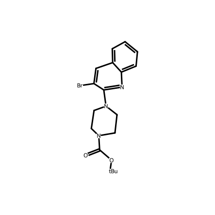 CC(C)(C)OC(=O)N1CCN(c2nc3ccccc3cc2Br)CC1